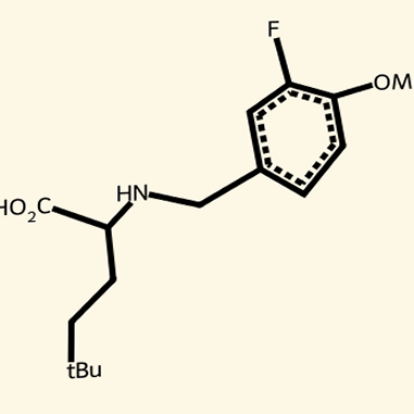 COc1ccc(CNC(CCC(C)(C)C)C(=O)O)cc1F